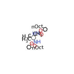 CCCCCCCCc1ccccc1OC(=O)NCC1(C)CC(NC(=O)Oc2ccccc2CCCCCCCC)CC(C)(C)C1